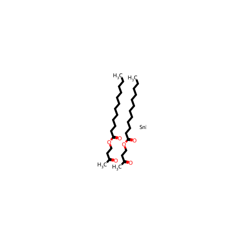 CCCCCCCCCCCC(=O)OCCC(C)=O.CCCCCCCCCCCC(=O)OCCC(C)=O.[Sn]